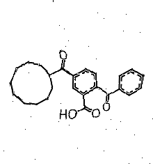 O=C(O)c1cc(C(=O)C2CCCCCCCCC2)ccc1C(=O)c1ccccc1